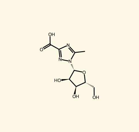 Cc1nc(C(=O)O)nn1[C@@H]1O[C@H](CO)[C@@H](O)[C@H]1O